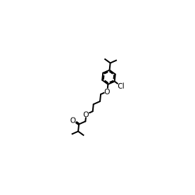 CC(C)C(=O)COCCCCOc1ccc(C(C)C)cc1Cl